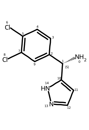 N[C@@H](c1ccc(Cl)c(Cl)c1)c1ccn[nH]1